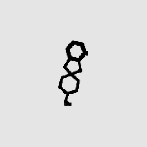 CC(C)(C)N1CCC2(CC1)Cc1cccnc1O2